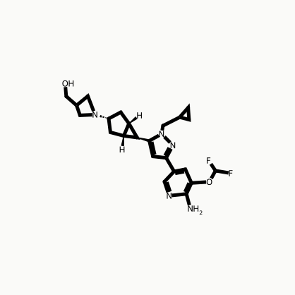 Nc1ncc(-c2cc([C@H]3[C@@H]4C[C@H](N5CC(CO)C5)C[C@@H]43)n(CC3CC3)n2)cc1OC(F)F